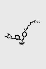 Br.CCCCCCCCCCCCCCOc1ccc(CN(C(C)=O)c2cccc(CN3C=C(C)SC3)c2)cc1